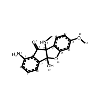 CNC12C(=O)c3c(N)cccc3C1(O)Oc1cc(OC)ccc12